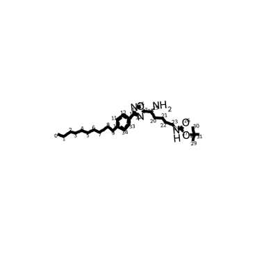 CCCCCCCCCCc1ccc(-c2noc([C@H](N)CCCCNC(=O)OC(C)(C)C)n2)cc1